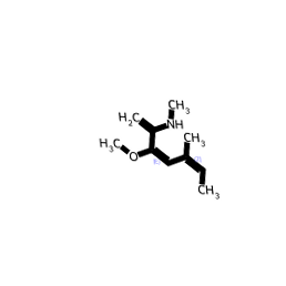 C=C(NC)/C(=C\C(C)=C/C)OC